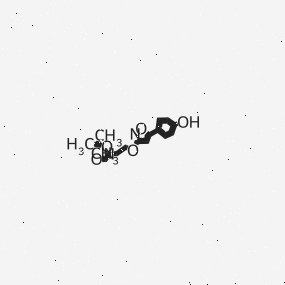 CC(C)(C)ON(C=O)CCOc1cc(-c2ccc(O)cc2)on1